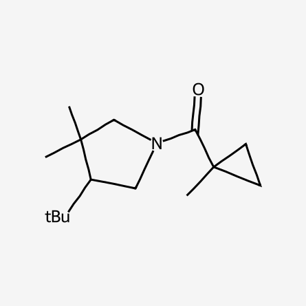 CC1(C(=O)N2CC(C(C)(C)C)C(C)(C)C2)CC1